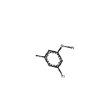 CCc1cc(C)cc(OC(C)C)c1